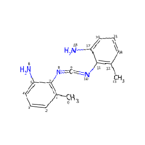 Cc1cccc(N)c1N=C=Nc1c(C)cccc1N